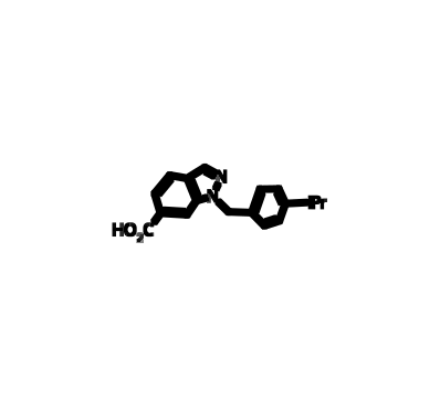 CC(C)c1ccc(Cn2ncc3ccc(C(=O)O)cc32)cc1